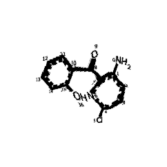 Nc1ccc(Cl)nc1C(=O)c1ccccc1O